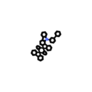 c1ccc(-c2cccc(-n3c4ccccc4c4ccc5c(c43)-c3ccccc3C53c4ccccc4C4(c5ccccc5-c5ccccc54)c4ccccc43)c2)cc1